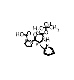 CC(C)(C)OC(=O)N[C@H](Cc1ccccn1)C(=O)N1CCC[C@H]1C(=O)O